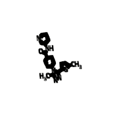 Cc1ccc(-c2nnc(C)n2-c2ccc(C(=O)Nc3cccnc3)cc2)s1